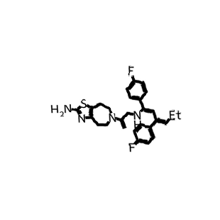 C=C(CN/C(=C\C(=C/CC)c1ccc(F)cc1)c1ccc(F)cc1)N1CCc2nc(N)sc2CC1